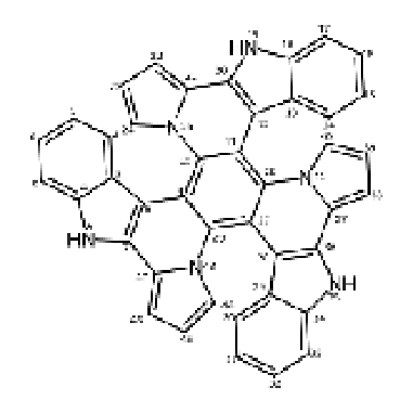 c1ccc2c(c1)[nH]c1c2c2c3c(c4c5ccccc5[nH]c4c4cccn43)c3c(c4c5ccccc5[nH]c4c4cccn43)c2n2cccc12